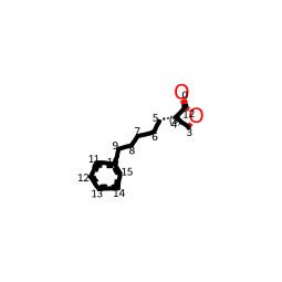 O=C1OC[C@@H]1CCCCCc1ccccc1